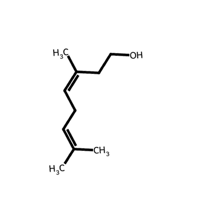 CC(C)=CCC=C(C)CCO